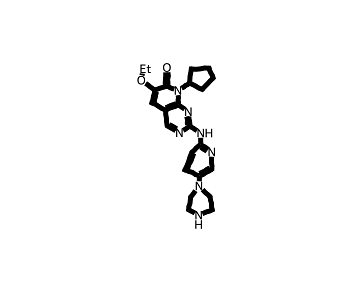 CCOc1cc2cnc(Nc3ccc(N4CCNCC4)cn3)nc2n(C2CCCC2)c1=O